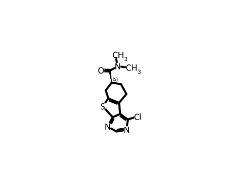 CN(C)C(=O)[C@H]1CCc2c(sc3ncnc(Cl)c23)C1